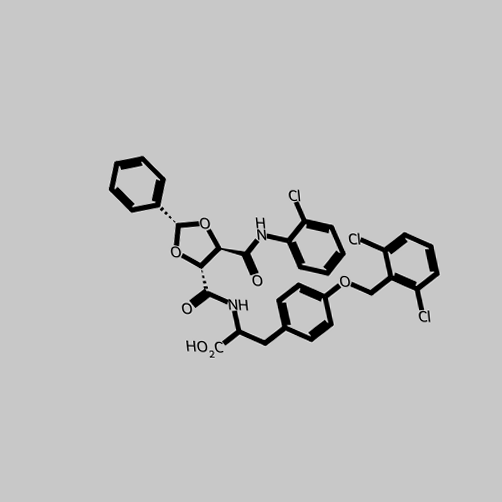 O=C(O)C(Cc1ccc(OCc2c(Cl)cccc2Cl)cc1)NC(=O)[C@@H]1O[C@H](c2ccccc2)O[C@H]1C(=O)Nc1ccccc1Cl